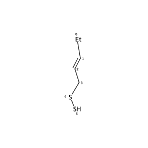 CCC=CCSS